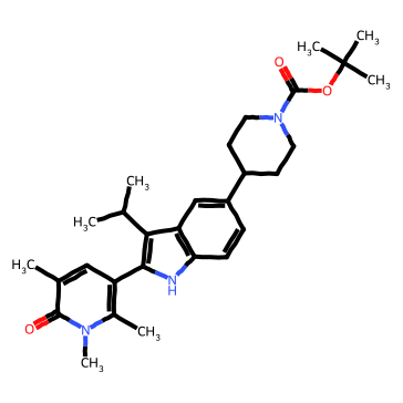 Cc1cc(-c2[nH]c3ccc(C4CCN(C(=O)OC(C)(C)C)CC4)cc3c2C(C)C)c(C)n(C)c1=O